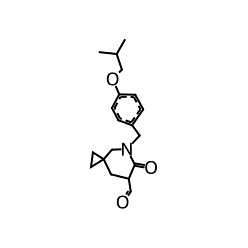 CC(C)COc1ccc(CN2CC3(CC3)CC(C=O)C2=O)cc1